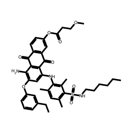 CCCCCCNS(=O)(=O)c1c(C)cc(C)c(Nc2cc(Oc3cccc(CC)c3)c(N)c3c2C(=O)c2cc(OC(=O)CCOC)ccc2C3=O)c1C